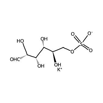 O=C[C@H](O)[C@@H](O)[C@H](O)[C@H](O)COS(=O)(=O)[O-].[K+]